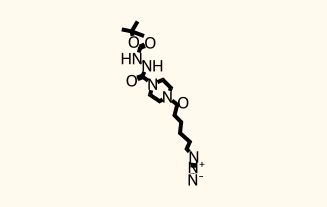 CC(C)(C)OC(=O)NNC(=O)N1CCN(C(=O)CCCCCN=[N+]=[N-])CC1